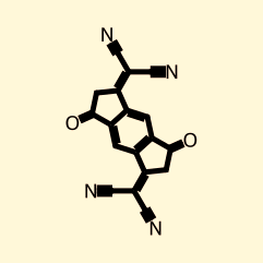 N#CC(C#N)=C1CC(=O)c2cc3c(cc21)C(=O)CC3=C(C#N)C#N